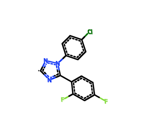 Fc1ccc(-c2n[c]nn2-c2ccc(Cl)cc2)c(F)c1